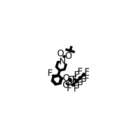 CC(C)(C)OC(=O)N1CCC(c2c(F)cccc2OS(=O)(=O)C(F)(F)C(F)(F)C(F)(F)C(F)(F)F)CC1